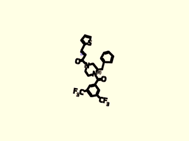 O=C(/C=C/c1cccs1)N1CCN(C(=O)c2cc(C(F)(F)F)cc(C(F)(F)F)c2)[C@H](Cc2ccccc2)C1